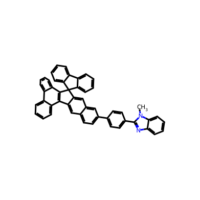 Cn1c(-c2ccc(-c3ccc4cc5c(cc4c3)C3(c4ccccc4-c4ccccc43)c3c-5c4ccccc4c4ccccc34)cc2)nc2ccccc21